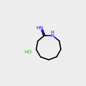 Cl.N=C1CCCCCCCN1